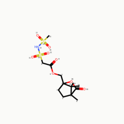 CC12CCC(COC(=O)CS(=O)(=O)NS(C)(=O)=O)(OC1=O)C2(C)C